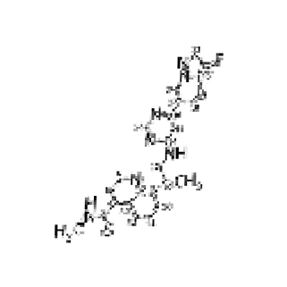 CNC(=S)c1ccnc2c(C(C)CNc3cc(-c4cnc5c(F)cnn5c4)ncn3)cccc12